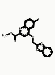 COC(=O)c1cc(OCc2nc3ccccc3s2)c2cc(F)ccc2n1